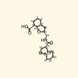 O=C(O)c1cccc2cc(CNC(=O)c3cnn4cccnc34)oc12